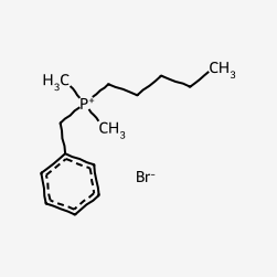 CCCCC[P+](C)(C)Cc1ccccc1.[Br-]